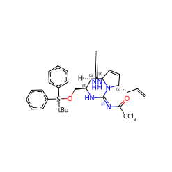 C=CC[C@H]1C=C[C@]23NC(=C)N[C@H]2[C@H](CO[Si](c2ccccc2)(c2ccccc2)C(C)(C)C)N/C(=N/C(=O)C(Cl)(Cl)Cl)N13